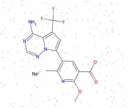 COc1nc(C)c(-c2cc(C(F)(F)F)c3c(N)ncnn23)cc1C(=O)[O-].[Na+]